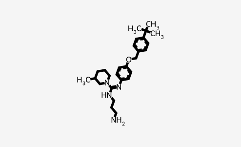 CC1CCCN(/C(=N\c2ccc(OCc3ccc(C(C)(C)C)cc3)cc2)NCCCN)C1